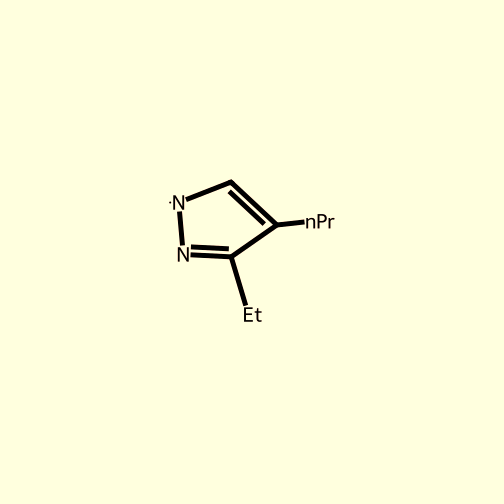 CCCC1=C[N]N=C1CC